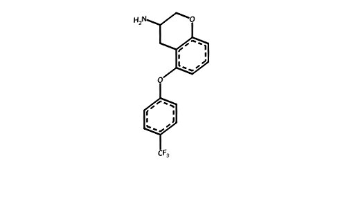 NC1COc2cccc(Oc3ccc(C(F)(F)F)cc3)c2C1